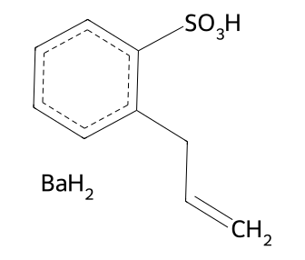 C=CCc1ccccc1S(=O)(=O)O.[BaH2]